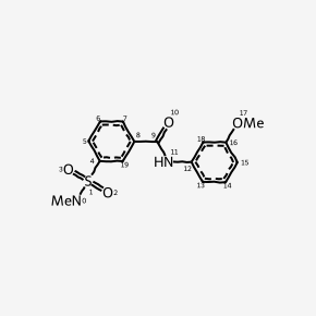 CNS(=O)(=O)c1cccc(C(=O)Nc2cccc(OC)c2)c1